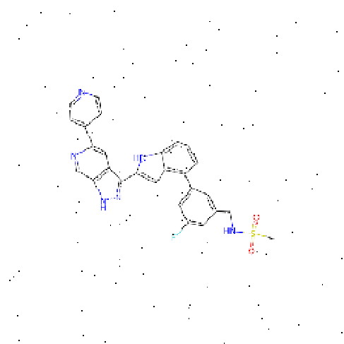 CS(=O)(=O)NCc1cc(F)cc(-c2cccc3[nH]c(-c4n[nH]c5cnc(-c6ccncc6)cc45)cc23)c1